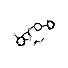 COC=O.O=C(Cc1c(Cl)cccc1Cl)NC1CCC(c2ccccc2)CC1